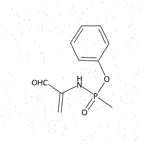 C=C(C=O)NP(C)(=O)Oc1ccccc1